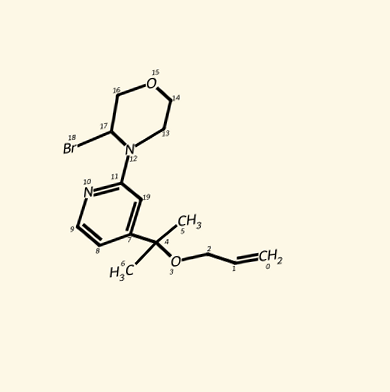 C=CCOC(C)(C)c1ccnc(N2CCOCC2Br)c1